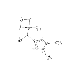 Cc1cc(C(O)C2(C)COC2)oc1C